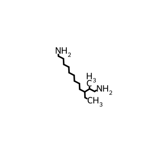 CCC(CCCCCCCCCN)C(C)CN